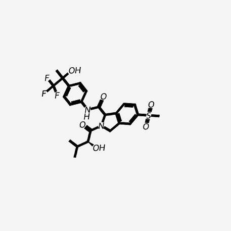 CC(C)[C@H](O)C(=O)N1Cc2cc(S(C)(=O)=O)ccc2C1C(=O)Nc1ccc(C(C)(O)C(F)(F)F)cc1